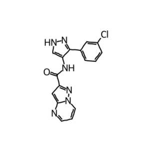 O=C(Nc1c[nH]nc1-c1cccc(Cl)c1)c1cc2ncccn2n1